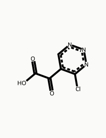 O=C(O)C(=O)c1cnnnc1Cl